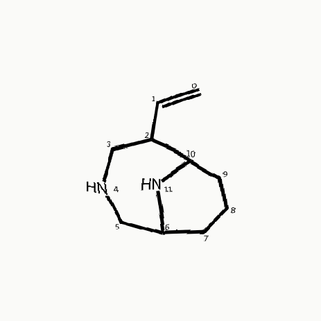 C=CC1CNCC2CCCC1N2